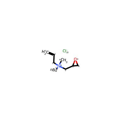 C=CC[N+](C)(CCCC)CC1CO1.[Cl-]